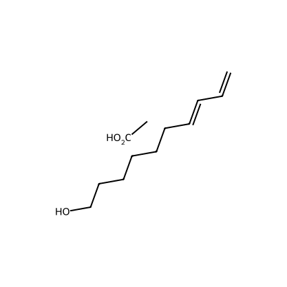 C=CC=CCCCCCCO.CC(=O)O